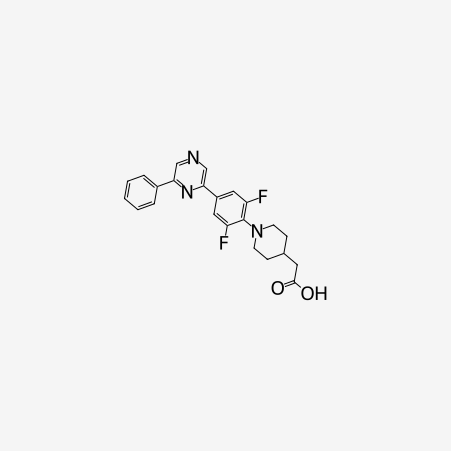 O=C(O)CC1CCN(c2c(F)cc(-c3cncc(-c4ccccc4)n3)cc2F)CC1